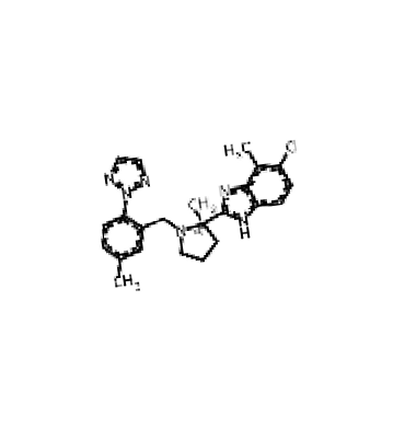 Cc1ccc(-n2nccn2)c(CN2CCC[C@@]2(C)c2nc3c(C)c(Cl)ccc3[nH]2)c1